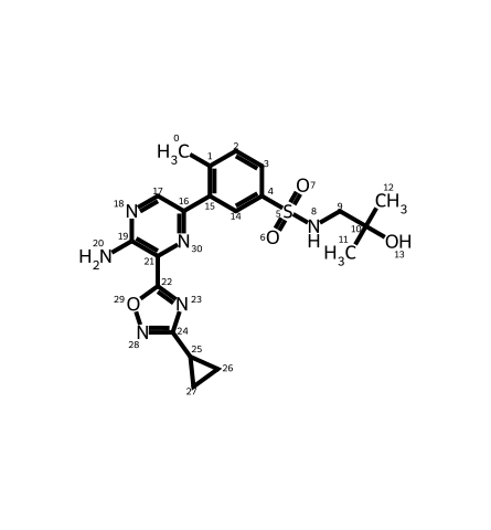 Cc1ccc(S(=O)(=O)NCC(C)(C)O)cc1-c1cnc(N)c(-c2nc(C3CC3)no2)n1